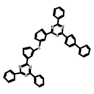 c1ccc(-c2ccc(-c3nc(-c4ccccc4)nc(-c4cccc(Sc5cccc(-c6nc(-c7ccccc7)nc(-c7ccccc7)n6)c5)c4)n3)cc2)cc1